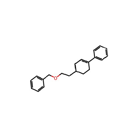 C1=C(c2ccccc2)CCC(CCOCc2ccccc2)C1